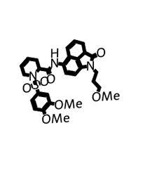 COCCCN1C(=O)C2CC=Cc3c(NC(=O)C4CC=CCN4S(=O)(=O)c4ccc(OC)c(OC)c4)ccc1c32